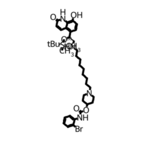 CC(C)(C)[Si](C)(C)O[C@H](CNCCCCCCCCCN1CCC(OC(=O)Nc2ccccc2Br)CC1)c1ccc(O)c2[nH]c(=O)ccc12